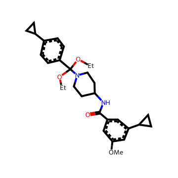 CCOC(OCC)(c1ccc(C2CC2)cc1)N1CCC(NC(=O)c2cc(OC)cc(C3CC3)c2)CC1